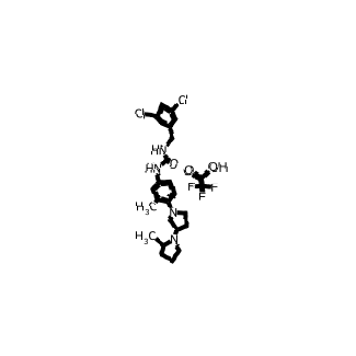 Cc1cc(NC(=O)NCc2cc(Cl)cc(Cl)c2)ccc1N1CCC(N2CCCC2C)C1.O=C(O)C(F)(F)F